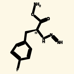 N=NN[C@@H](Cc1ccc(F)cc1)C(=O)ON